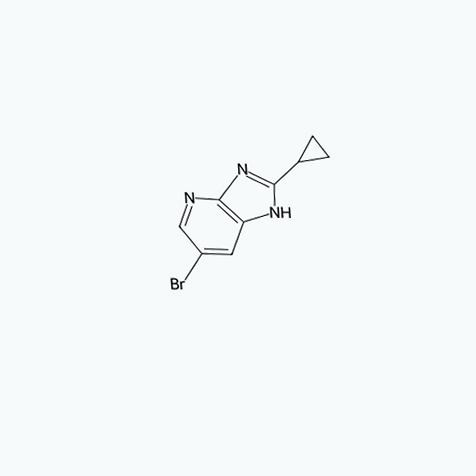 Brc1cnc2nc(C3CC3)[nH]c2c1